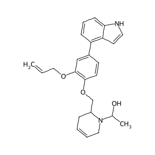 C=CCOc1cc(-c2cccc3[nH]ccc23)ccc1OCC1CC=CCN1C(C)O